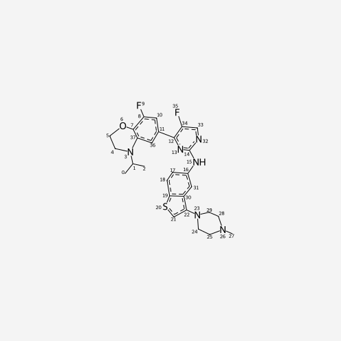 CC(C)N1CCOc2c(F)cc(-c3nc(Nc4ccc5scc(N6CCN(C)CC6)c5c4)ncc3F)cc21